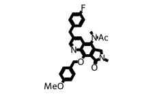 COc1ccc(COc2c3c(c(N(C)C(C)=O)c4cc(Cc5ccc(F)cc5)cnc24)CN(C)C3=O)cc1